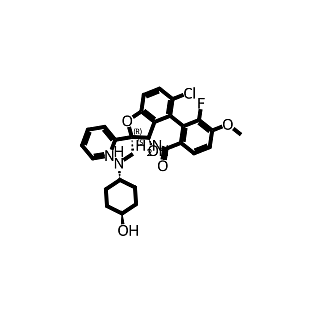 COc1ccc(C(N)=O)c(-c2c(Cl)ccc3c2[C@H](O)[C@@](CN[C@H]2CC[C@H](O)CC2)(c2ccccn2)O3)c1F